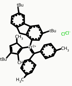 CC1=[C]([Zr+2](=[C](c2ccc(C)cc2)c2ccc(C)cc2)[c]2cc(C(C)(C)C)cc3c2Cc2ccc(C(C)(C)C)cc2-3)C(C)C=C1C(C)(C)C.[Cl-].[Cl-]